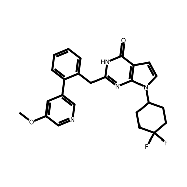 COc1cncc(-c2ccccc2Cc2nc3c(ccn3C3CCC(F)(F)CC3)c(=O)[nH]2)c1